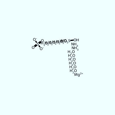 N.N.O.O.O.O.O.O.O.O.O.O.O.O.O=S(=O)(O)O.O=S(=O)([O-])[O-].[Mg+2]